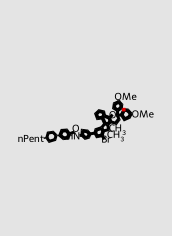 CCCCC[C@H]1CC[C@H](c2ccc(C(=O)Nc3ccc(-c4cc(Br)c5c(c4)-c4c(c6c(c7ccccc47)OC(c4ccc(OC)cc4)(c4ccc(OC)cc4)C=C6)C5(C)C)cc3)cc2)CC1